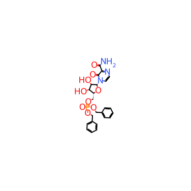 NC(=O)c1nccn([C@@H]2O[C@H](COP(=O)(OCc3ccccc3)OCc3ccccc3)[C@@H](O)[C@H]2O)c1=O